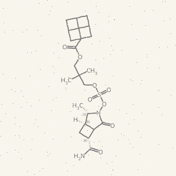 C[C@H]1[C@@H]2C[C@@H](C(N)=O)C2C(=O)N1OS(=O)(=O)OCC(C)(C)COC(=O)C12CC3CC4CC(C1)C432